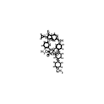 COc1cc(Nc2ncc3c(F)c(C4CC4)n(-c4cccc(N=S(C)(C)=O)n4)c3n2)ccc1N1CCC(N2CCN(C)CC2)CC1